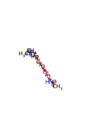 CCC(=O)NCCOCCOCCOCCOCCOC1CCN(C(C)C)CC1